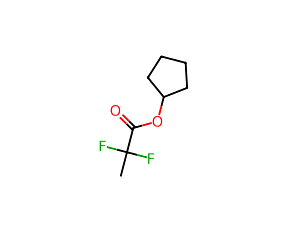 CC(F)(F)C(=O)OC1CCCC1